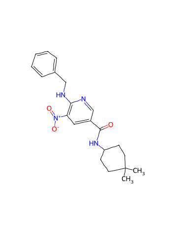 CC1(C)CCC(NC(=O)c2cnc(NCc3ccccc3)c([N+](=O)[O-])c2)CC1